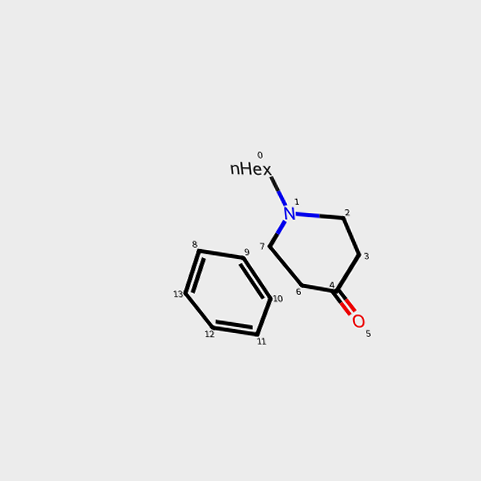 CCCCCCN1CCC(=O)CC1.c1ccccc1